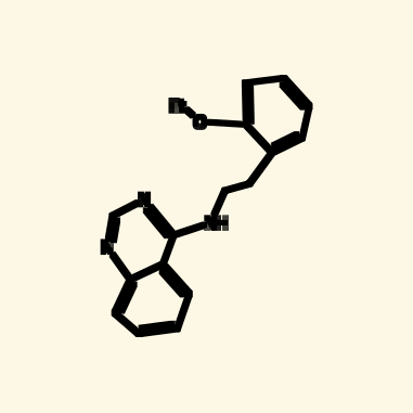 CCOc1ccccc1CCNc1ncnc2ccccc12